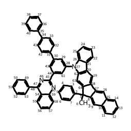 CC1(c2ccccc2)c2cc3ccccc3cc2-c2cc3c4ccccc4n(-c4cc(-c5ccc(-c6ccccc6)cc5)cc(-c5nc(-c6ccccc6)c6ccccc6n5)c4)c3cc21